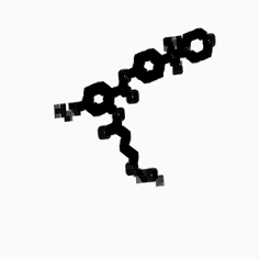 Nc1ccc(C(=O)Oc2ccc(P(=S)(S)N3CCOCC3)cc2)c(OC(=O)CCCO[N+](=O)[O-])c1